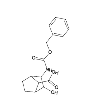 O=C(NC1C(O)C2CCC1C2C(=O)O)OCc1ccccc1